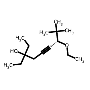 CCO[C@H](C#CCC(O)(CC)CC)C(C)(C)C